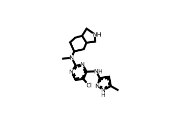 Cc1cc(Nc2nc(N(C)C3CCC4CNCC4C3)ncc2Cl)n[nH]1